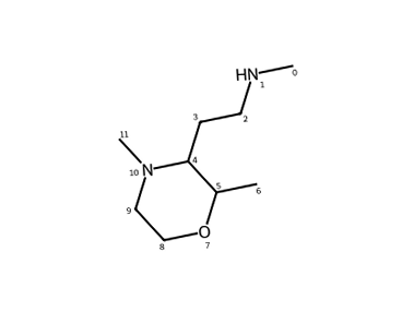 CNCCC1C(C)OCCN1C